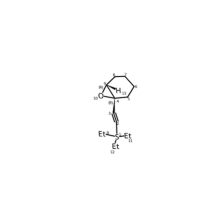 CCS(C#C[C@]12CCCC[C@H]1O2)(CC)CC